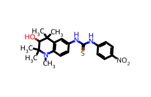 CN1c2ccc(NC(=S)Nc3ccc([N+](=O)[O-])cc3)cc2C(C)(C)C(O)C1(C)C